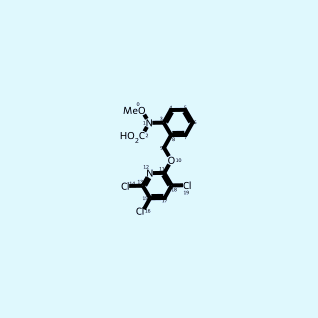 CON(C(=O)O)c1ccccc1COc1nc(Cl)c(Cl)cc1Cl